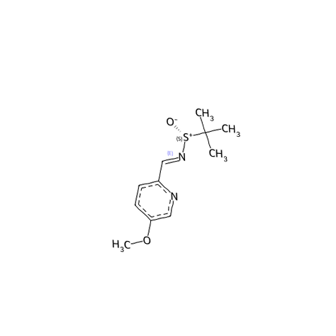 COc1ccc(/C=N/[S@+]([O-])C(C)(C)C)nc1